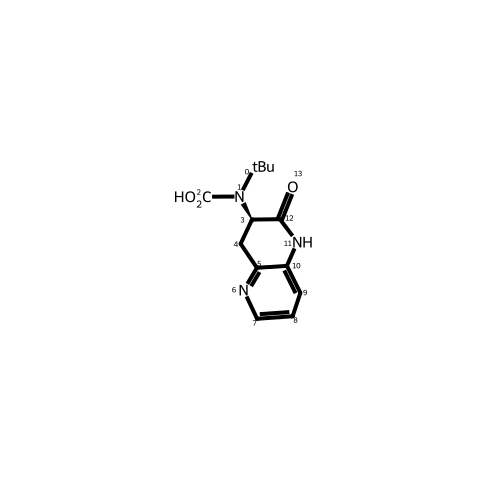 CC(C)(C)N(C(=O)O)[C@@H]1Cc2ncccc2NC1=O